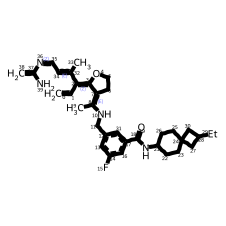 C=CC(=C1/OCC/C1=C(/C)NCc1cc(F)cc(C(=O)NC2CCC3(CC2)CC(CC)C3)c1)/C(C)=C/C=N\C(=C)N